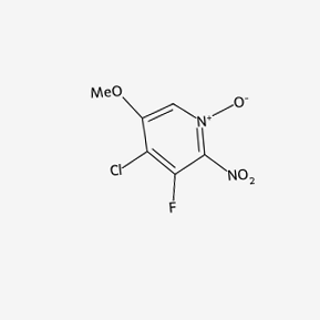 COc1c[n+]([O-])c([N+](=O)[O-])c(F)c1Cl